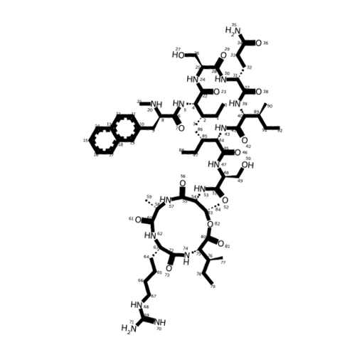 CC[C@H](C)[C@H](NC(=O)[C@@H](Cc1ccc2ccccc2c1)NC)C(=O)N[C@@H](CO)C(=O)N[C@H](CCC(N)=O)C(=O)N[C@@H](C(=O)N[C@H](C(=O)N[C@@H](CO)C(=O)N[C@H]1C(=O)N[C@@H](C)C(=O)N[C@@H](CCCCNC(=N)N)C(=O)N[C@@H]([C@@H](C)CC)C(=O)O[C@H]1C)[C@@H](C)CC)[C@@H](C)CC